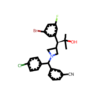 CC(C)(O)[C@H](c1cc(F)cc(Br)c1)C1CN(C(c2ccc(Cl)cc2)c2cccc(C#N)c2)C1